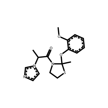 COc1ccccc1OC1(C)SCCN1C(=O)C(C)n1ccnc1